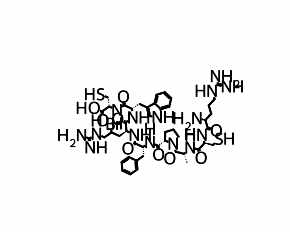 C[C@@H](NC(=O)[C@H](CS)NC(=O)[C@@H](N)CCCNC(=N)N)C(=O)N1CCC[C@H]1C(=O)N[C@H](Cc1ccccc1)C(=O)N[C@@H](CC(Br)CNC(=N)N)C(=O)N[C@@H](Cc1c[nH]c2ccccc12)C(=O)N[C@@H](CS)C(=O)O